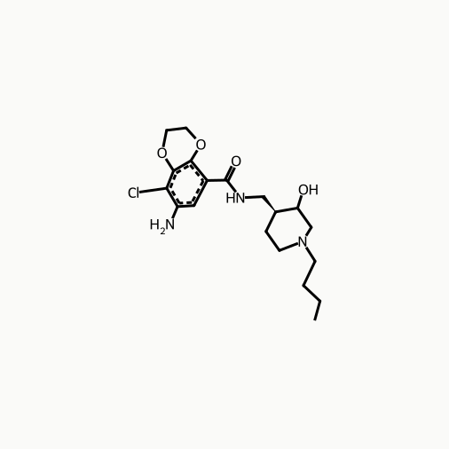 CCCCN1CC[C@@H](CNC(=O)c2cc(N)c(Cl)c3c2OCCO3)C(O)C1